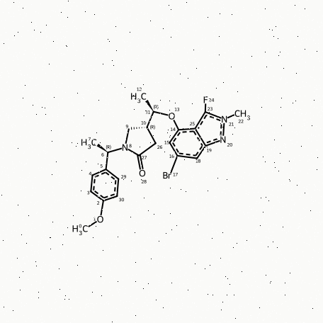 COc1ccc([C@@H](C)N2C[C@H]([C@@H](C)Oc3cc(Br)cc4nn(C)c(F)c34)CC2=O)cc1